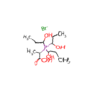 CCC(O)[P+](C(O)CC)(C(O)CC)C(C)C(=O)O.[Br-]